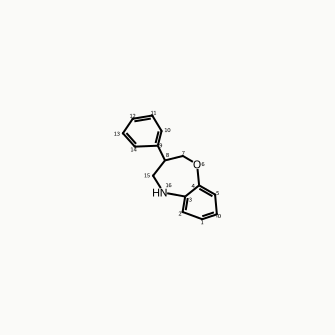 [c]1ccc2c(c1)OCC(c1ccccc1)CN2